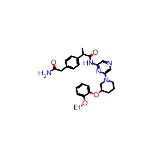 CCOc1ccccc1OC1CCCN(c2cncc(NC(=O)C(C)c3ccc(CC(N)=O)cc3)n2)C1